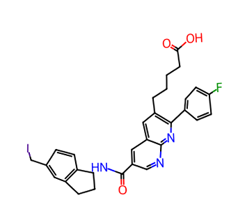 O=C(O)CCCCc1cc2cc(C(=O)N[C@@H]3CCc4cc(CI)ccc43)cnc2nc1-c1ccc(F)cc1